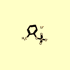 Cc1ccccc1OS(=O)(=O)[O-].[Li+]